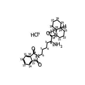 Cl.N[C@H](CCCCN1C(=O)c2ccccc2C1=O)C(=O)N1CCC[C@H]2CCCC[C@@H]21